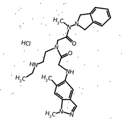 CCNCCN(CC(=O)N(C)N1Cc2ccccc2C1)C(=O)CNc1cc2cnn(C)c2cc1C.Cl